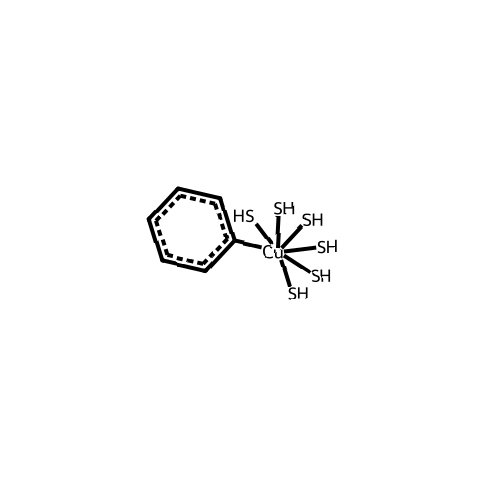 [SH][Cu]([SH])([SH])([SH])([SH])([SH])[c]1ccccc1